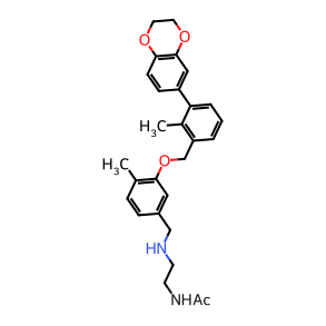 CC(=O)NCCNCc1ccc(C)c(OCc2cccc(-c3ccc4c(c3)OCCO4)c2C)c1